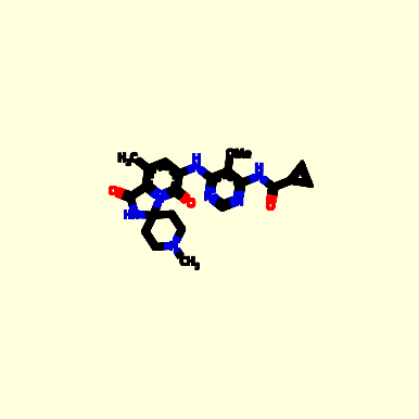 COc1c(NC(=O)C2CC2)ncnc1Nc1cc(C)c2n(c1=O)C1(CCN(C)CC1)NC2=O